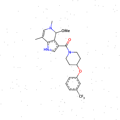 COC1c2c(C(=O)N3CCC(Oc4cccc(C(F)(F)F)c4)CC3)c[nH]c2C(C)=CN1C